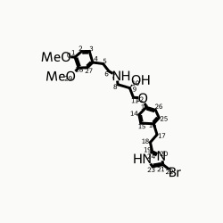 COc1ccc(CCNC[C@H](O)COc2ccc(CCc3nc(Br)c[nH]3)cc2)cc1OC